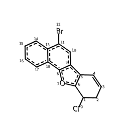 ClC1CC=Cc2c1oc1c2cc(Br)c2ccccc21